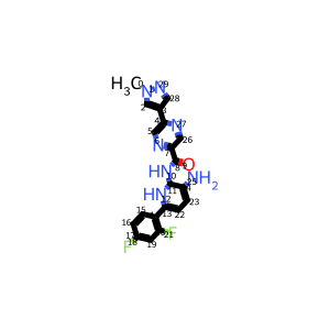 Cn1cc(-c2cnc(C(=O)NC3NC(c4ccc(F)cc4F)=CC=C3N)cn2)cn1